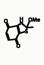 COC1(C)NC2=C(S1)C(=O)C=CC2=O